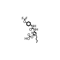 CCCCn1cc(NC(=O)Nc2ccc(OC(F)F)cc2)nc1OC(=O)O